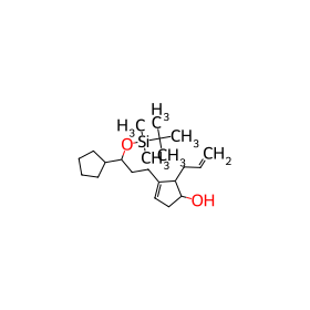 C=CCC1C(CCC(O[Si](C)(C)C(C)(C)C)C2CCCC2)=CCC1O